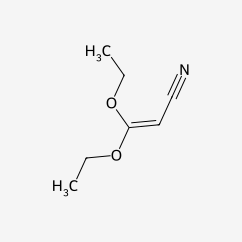 CCOC(=CC#N)OCC